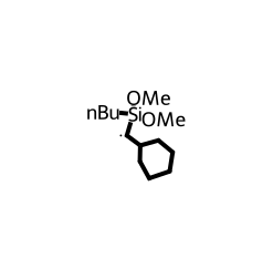 CCCC[Si]([CH]C1CCCCC1)(OC)OC